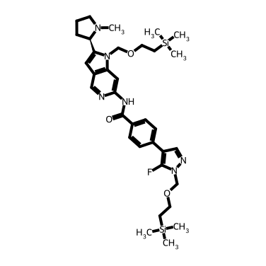 CN1CCC[C@@H]1c1cc2cnc(NC(=O)c3ccc(-c4cnn(COCC[Si](C)(C)C)c4F)cc3)cc2n1COCC[Si](C)(C)C